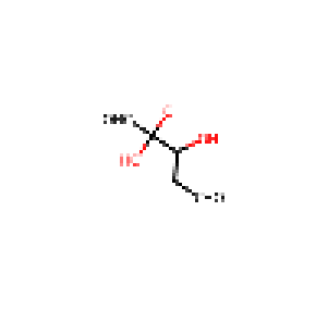 O=CCC(O)C(O)(O)C=O